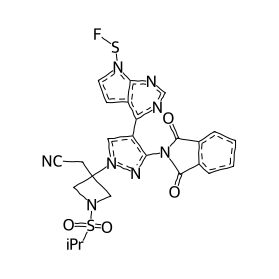 CC(C)S(=O)(=O)N1CC(CC#N)(n2cc(-c3ncnc4c3ccn4SF)c(N3C(=O)c4ccccc4C3=O)n2)C1